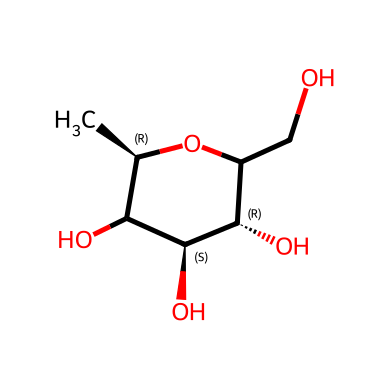 C[C@H]1OC(CO)[C@H](O)[C@@H](O)C1O